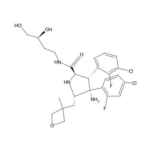 CC1(C[C@@H]2N[C@@H](C(=O)NCC[C@H](O)CO)[C@H](c3cccc(Cl)c3F)[C@@]2(N)c2ccc(Cl)cc2F)COC1